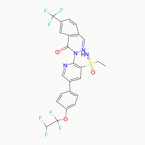 CCS(=N)(=O)c1cc(-c2ccc(OC(F)(F)C(F)F)cc2)cnc1-n1ncc2ccc(C(F)(F)F)cc2c1=O